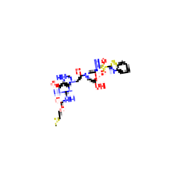 CSCCOC(=O)Nc1nc2c(c(=O)[nH]1)NCN2CC(=O)N(CCNS(=O)(=O)c1nc2ccccc2s1)CC(=O)O